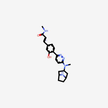 CNC(=O)/C=C/c1ccc(-c2ccc(N(C)C3CC4CCC(C3)N4)nn2)c(O)c1